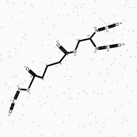 O=C=NOC(=O)CCCC(=O)OCC(N=C=O)N=C=O